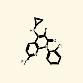 O=c1c(F)c(NC2CC2)c2ccc(C(F)(F)F)nc2n1-c1ccccc1Cl